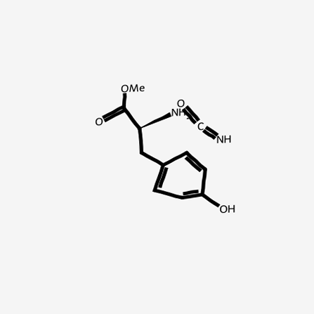 COC(=O)[C@@H](N)Cc1ccc(O)cc1.N=C=O